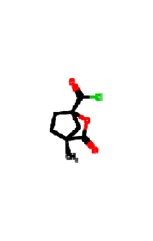 C[C@@]12CC[C@@](C(=O)Cl)(C1)OC2=O